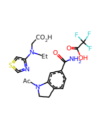 CC(=O)N1CCc2ccc(C(N)=O)cc21.CCN(CC(=O)O)c1cscn1.O=C(O)C(F)(F)F